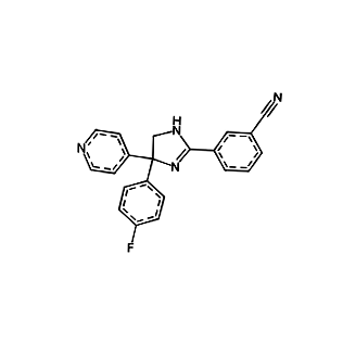 N#Cc1cccc(C2=NC(c3ccncc3)(c3ccc(F)cc3)CN2)c1